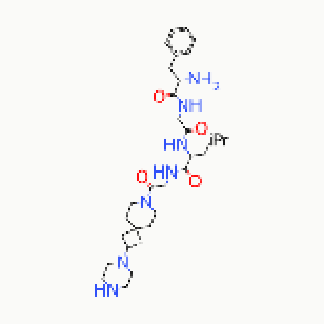 CC(C)CC(NC(=O)CNC(=O)C(N)Cc1ccccc1)C(=O)NCC(=O)N1CCC2(CC1)CC(N1CCNCC1)C2